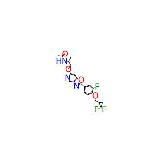 CC(=O)N[C@@H](C)COc1cc2oc(-c3ccc(OC[C@H]4CC4(F)F)c(F)c3)nc2cn1